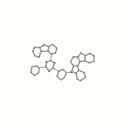 c1ccc(-c2nc(-c3cccc(-n4c5ccccc5c5c6c(ccc54)oc4ccccc46)c3)nc(-c3cccc4oc5ccccc5c34)n2)cc1